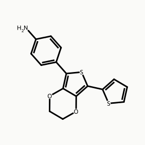 Nc1ccc(-c2sc(-c3cccs3)c3c2OCCO3)cc1